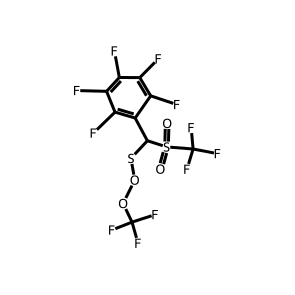 O=S(=O)(C(SOOC(F)(F)F)c1c(F)c(F)c(F)c(F)c1F)C(F)(F)F